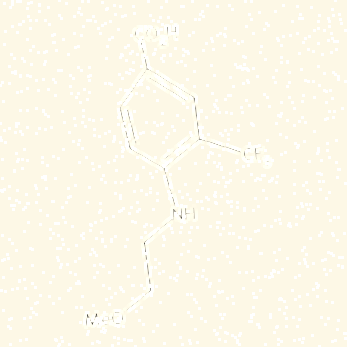 COCCNc1ccc(C(=O)O)cc1C(F)(F)F